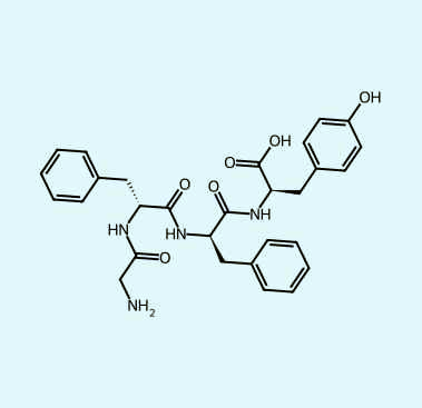 NCC(=O)N[C@H](Cc1ccccc1)C(=O)N[C@H](Cc1ccccc1)C(=O)N[C@H](Cc1ccc(O)cc1)C(=O)O